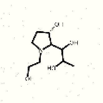 CC(O)C(O)C1[C@@H](O)CCN1CCO